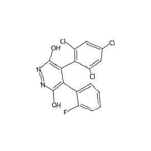 Oc1nnc(O)c(-c2c(Cl)cc(Cl)cc2Cl)c1-c1ccccc1F